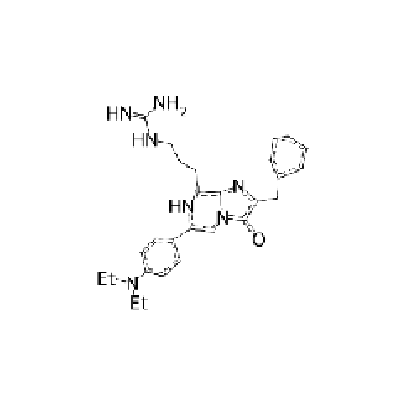 CCN(CC)c1ccc(-c2cn3c(=O)c(Cc4ccccc4)nc-3c(CCCNC(=N)N)[nH]2)cc1